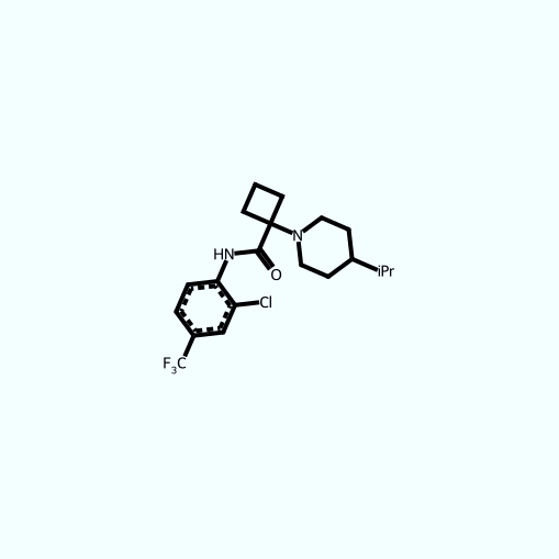 CC(C)C1CCN(C2(C(=O)Nc3ccc(C(F)(F)F)cc3Cl)CCC2)CC1